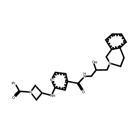 CC(C)C(=O)N1CC(Nc2cc(C(=O)NCC(O)CN3CCc4ccccc4C3)ccn2)C1